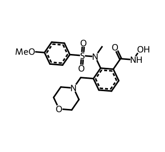 COc1ccc(S(=O)(=O)N(C)c2c(CN3CCOCC3)cccc2C(=O)NO)cc1